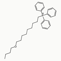 CCCCOCCCCCCCCC[PH](c1ccccc1)(c1ccccc1)c1ccccc1